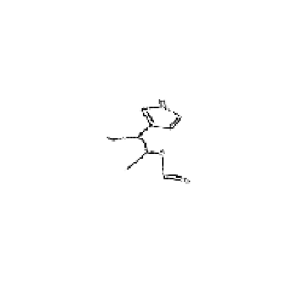 CC(OC=O)C(C)c1cc[nH]c1